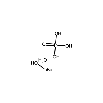 CCCCO.O.O=P(O)(O)O